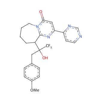 COc1ccc(CC(O)(C2CCCCn3c2nc(-c2ccncn2)cc3=O)C(F)(F)F)cc1